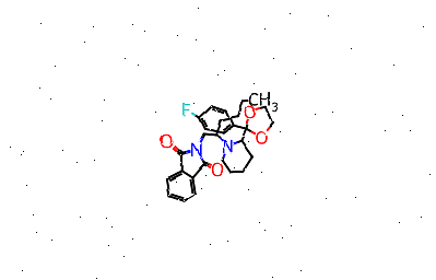 CCCCC(CN1C(=O)c2ccccc2C1=O)N1CCCCC1C1(c2ccc(F)cc2)OCCO1